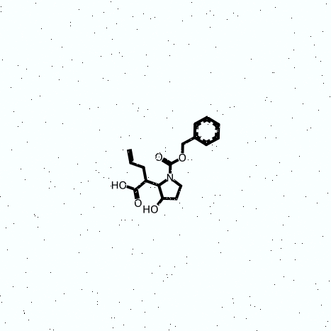 C=CCC(C(=O)O)C1C(O)CCN1C(=O)OCc1ccccc1